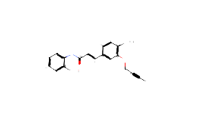 CC#CCOc1cc(/C=C/C(=O)Nc2ccccc2C=O)ccc1OC